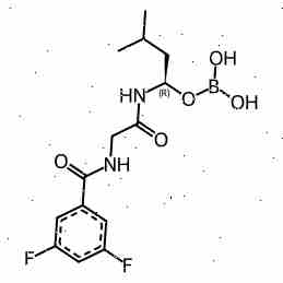 CC(C)C[C@H](NC(=O)CNC(=O)c1cc(F)cc(F)c1)OB(O)O